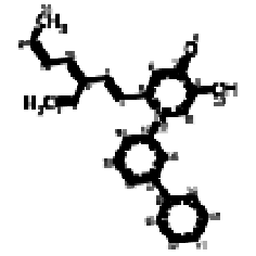 C=CC(/C=C/c1cc(=O)c(O)cn1-c1cccc(-c2ccccc2)c1)=C\C=C/C